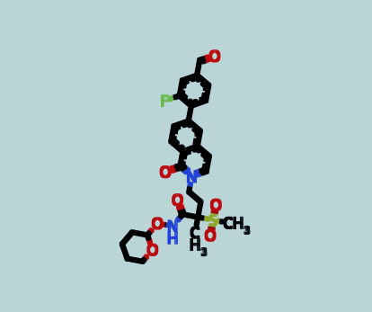 CC(CCn1ccc2cc(-c3ccc(C=O)cc3F)ccc2c1=O)(C(=O)NOC1CCCCO1)S(C)(=O)=O